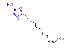 CCCCCCCC/C=C\CCCCCCCc1nc(N)n[nH]1